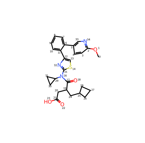 COc1ccc(-c2ccccc2-c2csc(N(C(=O)C(CC(=O)O)CC3CCC3)C3CC3)n2)cn1